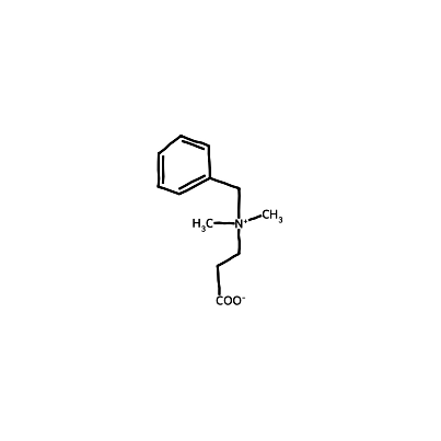 C[N+](C)(CCC(=O)[O-])Cc1ccccc1